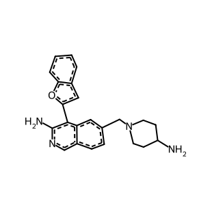 Nc1ncc2ccc(CN3CCC(N)CC3)cc2c1-c1cc2ccccc2o1